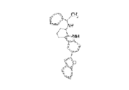 CC(NC1CCCc2c1[nH]c1ccc(-c3cc4ccccc4o3)cc21)c1ccccc1